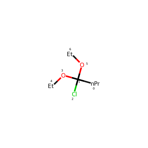 CCCC(Cl)(OCC)OCC